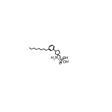 CCCCCCCCc1cccc(C2CCC(N)(COP(=O)(O)O)C2)c1